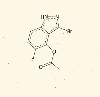 CC(=O)Oc1c(F)ccc2[nH]nc(Br)c12